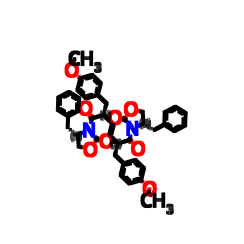 COc1ccc(C[C@@H](C=C[C@H](Cc2ccc(OC)cc2)C(=O)N2C(=O)OC[C@@H]2Cc2ccccc2)C(=O)N2C(=O)OC[C@@H]2Cc2ccccc2)cc1